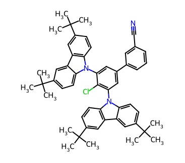 CC(C)(C)c1ccc2c(c1)c1cc(C(C)(C)C)ccc1n2-c1cc(-c2cccc(C#N)c2)cc(-n2c3ccc(C(C)(C)C)cc3c3cc(C(C)(C)C)ccc32)c1Cl